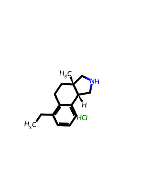 CCc1cccc2c1CC[C@]1(C)CNC[C@H]21.Cl